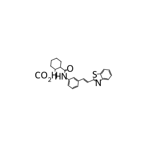 O=C(O)C1CCCCC1C(=O)Nc1cccc(C=Cc2nc3ccccc3s2)c1